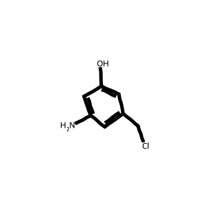 Nc1cc(O)cc(CCl)c1